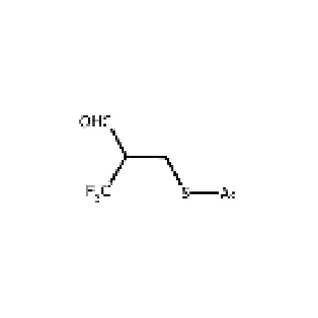 CC(=O)SCC(C=O)C(F)(F)F